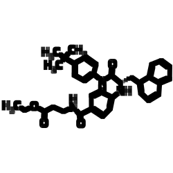 CCOC(=O)CCNC(=O)c1ccc(N[C@@H](Cc2cccc3ccccc23)C(=O)Nc2ccc(C(C)(C)C)cc2)cc1